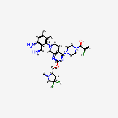 C=C(F)C(=O)N1CCN(c2nc(OC[C@@H]3CC(F)(F)CN3C)nc3c2CCN(c2c(C)c(C)cc(N)c2C=N)C3)CC1